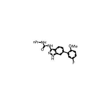 CCCNC(=O)Nc1n[nH]c2cc(-c3cc(F)ccc3OC)ccc12